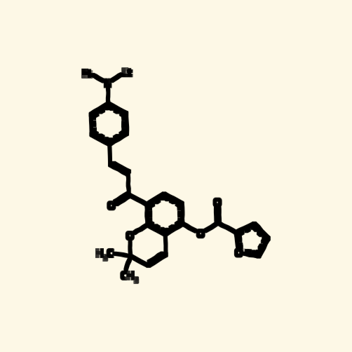 CCN(CC)c1ccc(C=CC(=O)c2ccc(OC(=O)c3ccco3)c3c2OC(C)(C)C=C3)cc1